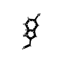 O=Cc1cc2cc(Cl)nnc2[nH]1